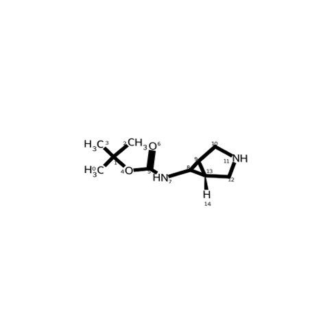 CC(C)(C)OC(=O)NC1C2CNC[C@@H]21